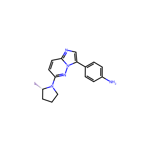 Nc1ccc(-c2cnc3ccc(N4CCC[C@@H]4I)nn23)cc1